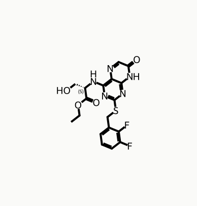 CCOC(=O)[C@H](CO)Nc1nc(SCc2cccc(F)c2F)nc2[nH]c(=O)cnc12